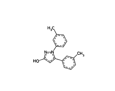 Cc1cccc(-c2cc(O)nn2-c2cccc(C)c2)c1